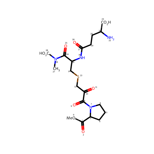 COC(=O)C1CCCN1C(=O)C(=O)CSCC(NC(=O)CCC(N)C(=O)O)C(=O)N(C)C(=O)O